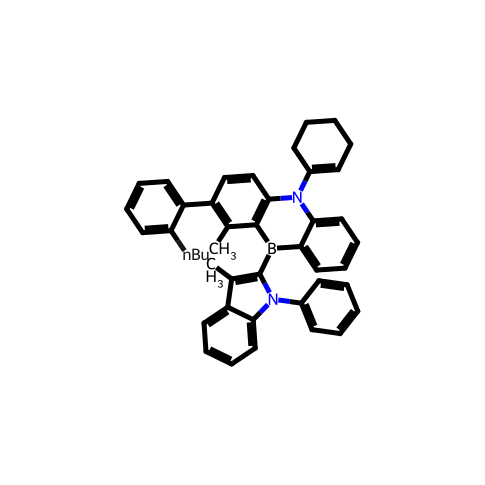 CCCCc1ccccc1-c1ccc2c(c1C)B(c1c(C)c3ccccc3n1-c1ccccc1)c1ccccc1N2C1=CCCCC1